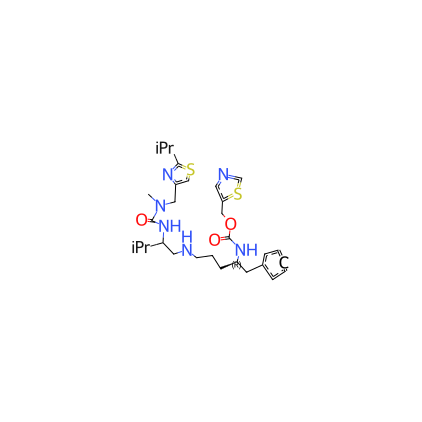 CC(C)c1nc(CN(C)C(=O)NC(CNCCC[C@H](Cc2ccccc2)NC(=O)OCc2cncs2)C(C)C)cs1